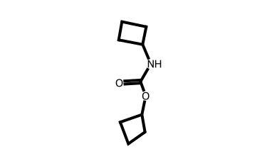 O=C(NC1CCC1)OC1CCC1